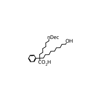 CCCCCCCCCCCCCCCCC(CCCCCCCCCO)(C(=O)O)c1ccccc1